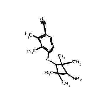 Cc1c(C#N)ccc(OC2C(C)(C)C(N)C2(C)C)c1C